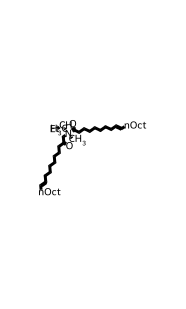 CCC.CCCCCCCCC=CCCCCCCCC(=O)C[N+](C)(C)C(=O)CCCCCCCC=CCCCCCCCC